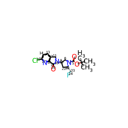 CC(C)(C)OC(=O)N1C[C@H](N2Cc3ccc(Cl)nc3C2=O)C[C@H]1CF